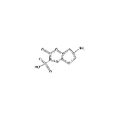 Nc1ccc2cc(S(=O)(=O)O)c(=O)oc2c1